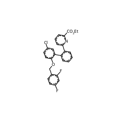 CCOC(=O)c1cccc(-c2ccccc2-c2cc(Cl)ccc2OCc2ccc(F)cc2F)n1